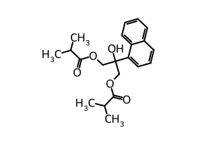 CC(C)C(=O)OCC(O)(COC(=O)C(C)C)c1cccc2ccccc12